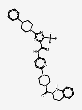 O=C(Nc1ccc(N2CCN(C(=O)C3CCc4ccccc4N3)CC2)nc1)c1oc(N2CCC(c3ccccc3)CC2)nc1C(F)(F)F